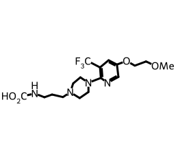 COCCOc1cnc(N2CCN(CCCNC(=O)O)CC2)c(C(F)(F)F)c1